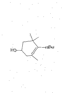 CCCCC1=C(C)CC(O)CC1(C)C